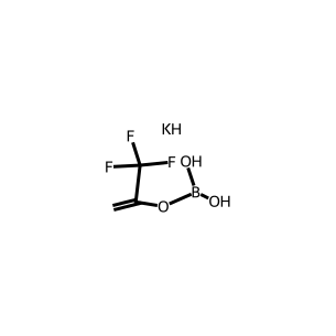 C=C(OB(O)O)C(F)(F)F.[KH]